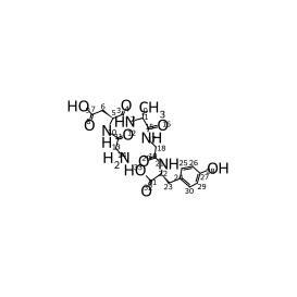 C[C@H](NC(=O)[C@H](CC(=O)O)NC(=O)CN)C(=O)NCC(=O)N[C@@H](Cc1ccc(O)cc1)C(=O)O